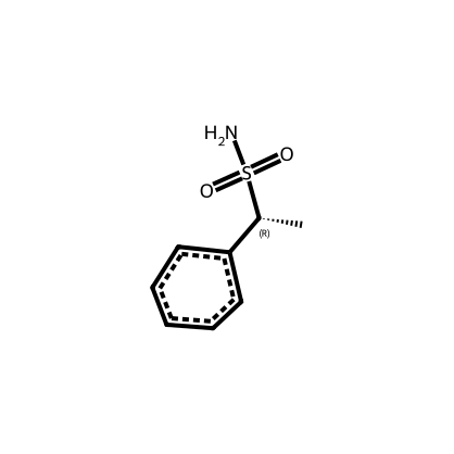 C[C@H](c1ccccc1)S(N)(=O)=O